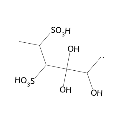 [CH2]C(O)C(O)(O)C(C(C)S(=O)(=O)O)S(=O)(=O)O